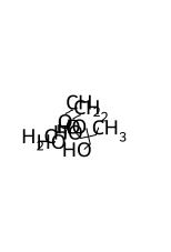 C=CCOCC=C.C=CCOCCO.CCC(CO)(CO)CO